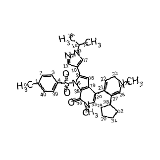 Cc1ccc(S(=O)(=O)n2c(-c3cnn(C(C)C)c3)cc3c(C4=CCN(C)C=C4C4CCCC4)cn(C)c(=O)c32)cc1